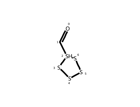 O=C[SH]1SSSS1